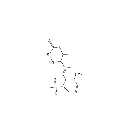 COc1cccc(S(C)(=O)=O)c1/C=C(\C)C1NNC(=O)CC1C